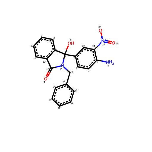 Nc1ccc(C2(O)c3ccccc3C(=O)N2Cc2ccccc2)cc1[N+](=O)[O-]